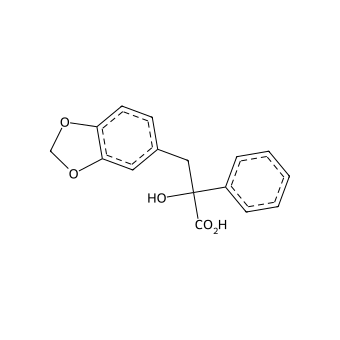 O=C(O)C(O)(Cc1ccc2c(c1)OCO2)c1ccccc1